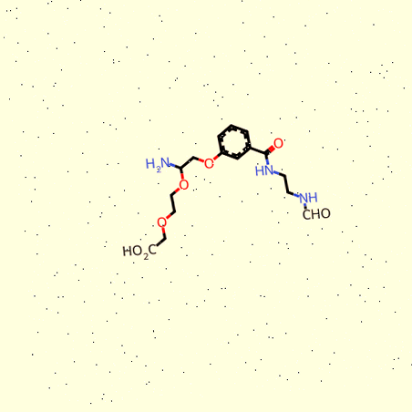 NC(COc1cccc(C(=O)NCCNC=O)c1)OCCOCC(=O)O